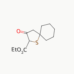 CCOC(=O)C1SC2(CCCCC2)CC1=O